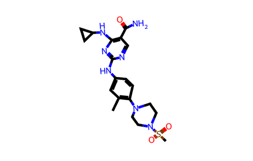 Cc1cc(Nc2ncc(C(N)=O)c(NC3CC3)n2)ccc1N1CCN(S(C)(=O)=O)CC1